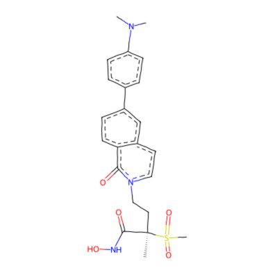 CN(C)c1ccc(-c2ccc3c(=O)n(CC[C@](C)(C(=O)NO)S(C)(=O)=O)ccc3c2)cc1